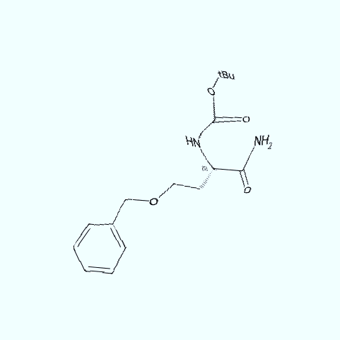 CC(C)(C)OC(=O)N[C@@H](CCOCc1ccccc1)C(N)=O